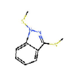 CSc1nn(SC)c2ccccc12